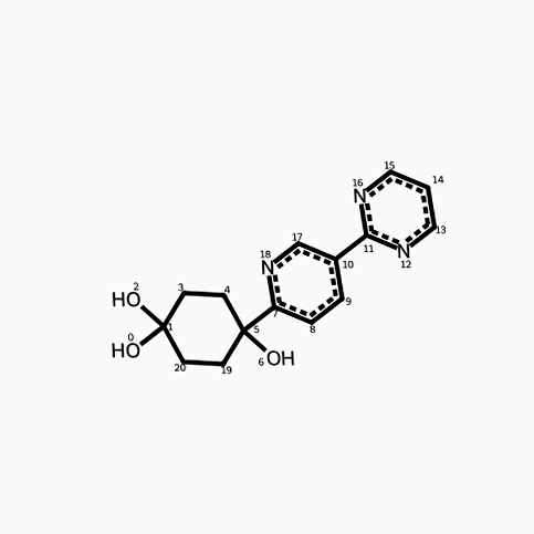 OC1(O)CCC(O)(c2ccc(-c3ncccn3)cn2)CC1